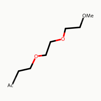 COCCOCCOCCC(C)=O